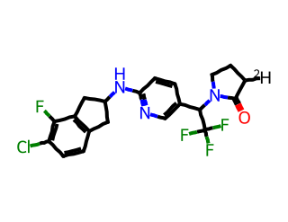 [2H]C1CCN(C(c2ccc(NC3Cc4ccc(Cl)c(F)c4C3)nc2)C(F)(F)F)C1=O